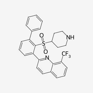 O=S(=O)(c1c(-c2ccccc2)cccc1-c1ccc2cccc(C(F)(F)F)c2n1)C1CCNCC1